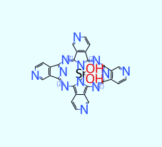 O[Si]1(O)n2c3c4cnccc4c2/N=C2N=C(/N=c4/c5cnccc5/c(n41)=N/C1=NC(=N\3)/c3ccncc31)c1ccncc1\2